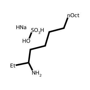 CCCCCCCCCCCCC(N)CC.O=S(=O)(O)O.[NaH]